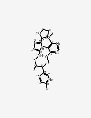 COc1ncnc(OC)c1-n1c(NSC(C)C(C)c2cnc(C)cn2)nnc1C1CCCO1